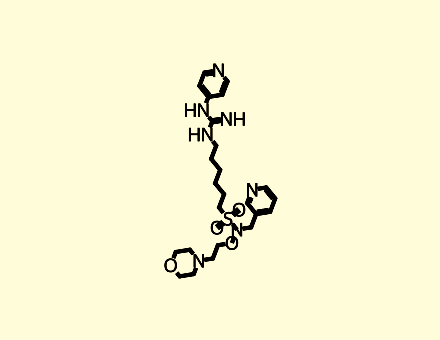 N=C(NCCCCCCS(=O)(=O)N(Cc1cccnc1)OCCN1CCOCC1)Nc1ccncc1